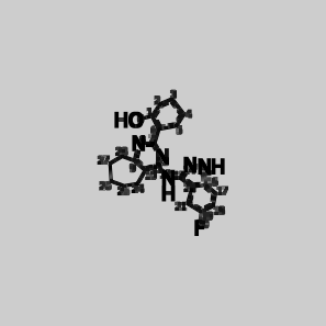 Oc1ccccc1-c1nc2c(c(Nc3n[nH]c4ccc(F)cc34)n1)CCCCC2